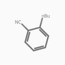 [CH2]CCCc1ccccc1C#N